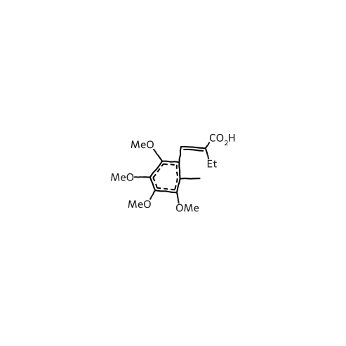 CC/C(=C\c1c(C)c(OC)c(OC)c(OC)c1OC)C(=O)O